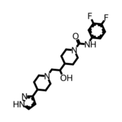 O=C(Nc1ccc(F)c(F)c1)N1CCC(C(O)CN2CCC(c3cc[nH]n3)CC2)CC1